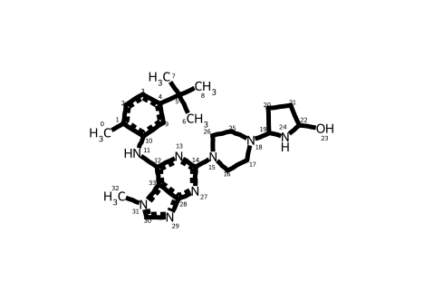 Cc1ccc(C(C)(C)C)cc1Nc1nc(N2CCN(C3CCC(O)N3)CC2)nc2ncn(C)c12